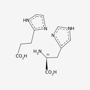 N[C@@H](Cc1c[nH]cn1)C(=O)O.O=C(O)CCc1ncc[nH]1